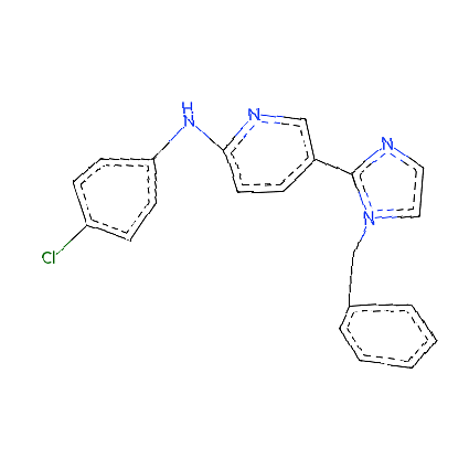 Clc1ccc(Nc2ccc(-c3nccn3Cc3ccccc3)cn2)cc1